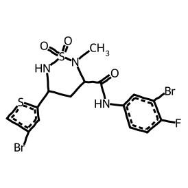 CN1C(C(=O)Nc2ccc(F)c(Br)c2)CC(c2cc(Br)cs2)NS1(=O)=O